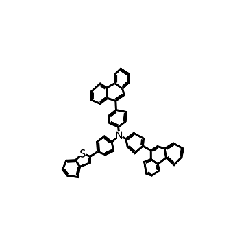 c1ccc2sc(-c3ccc(N(c4ccc(-c5cc6ccccc6c6ccccc56)cc4)c4ccc(-c5cc6ccccc6c6ccccc56)cc4)cc3)cc2c1